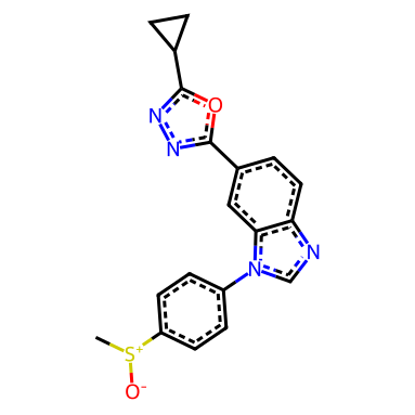 C[S+]([O-])c1ccc(-n2cnc3ccc(-c4nnc(C5CC5)o4)cc32)cc1